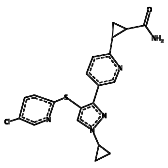 NC(=O)C1CC1c1ccc(-c2nn(C3CC3)cc2Sc2ccc(Cl)cn2)cn1